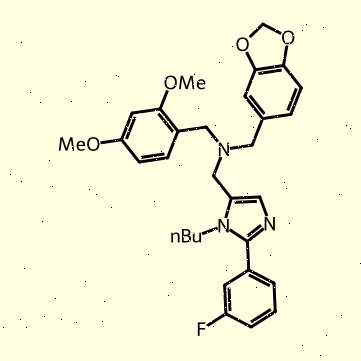 CCCCn1c(CN(Cc2ccc3c(c2)OCO3)Cc2ccc(OC)cc2OC)cnc1-c1cccc(F)c1